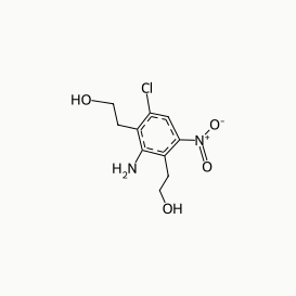 Nc1c(CCO)c(Cl)cc([N+](=O)[O-])c1CCO